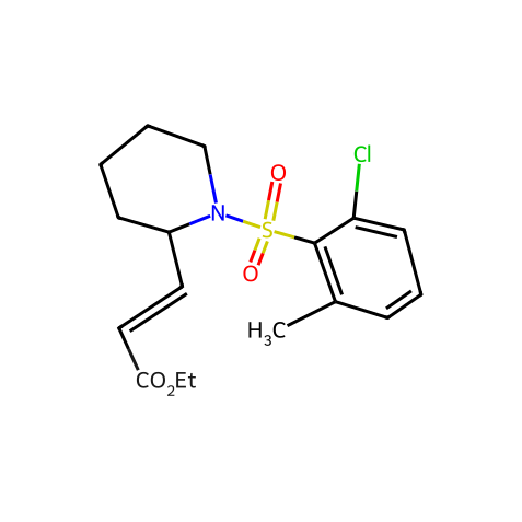 CCOC(=O)/C=C/C1CCCCN1S(=O)(=O)c1c(C)cccc1Cl